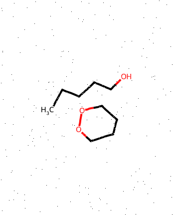 C1CCOOC1.CCCCCO